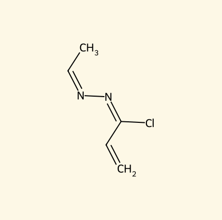 C=C/C(Cl)=N\N=C/C